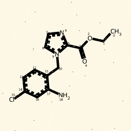 CCOC(=O)c1nccn1Cc1ccc(Cl)cc1N